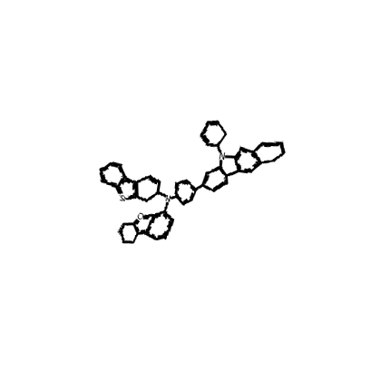 C1=CCC(N2c3cc4c(cc3C3C=CC(c5ccc(N(c6cccc7c8c(oc67)CCCC8)C6C=Cc7c(sc8ccccc78)C6)cc5)=CC32)CCC=C4)C=C1